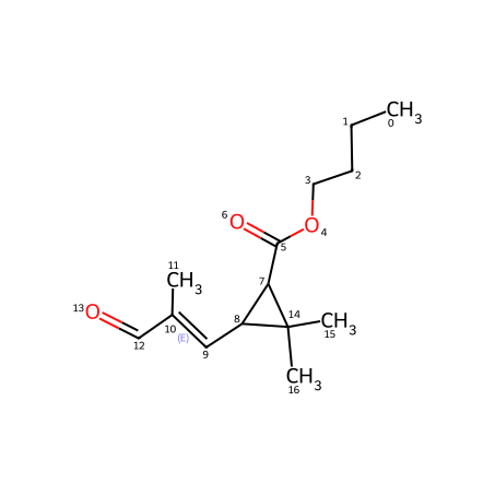 CCCCOC(=O)C1C(/C=C(\C)C=O)C1(C)C